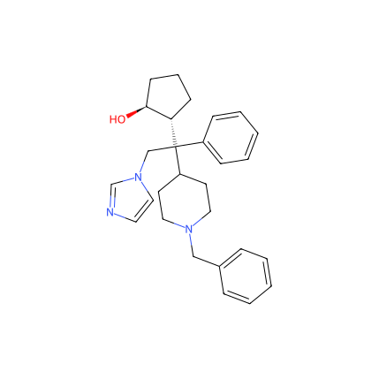 O[C@H]1CCC[C@@H]1C(Cn1ccnc1)(c1ccccc1)C1CCN(Cc2ccccc2)CC1